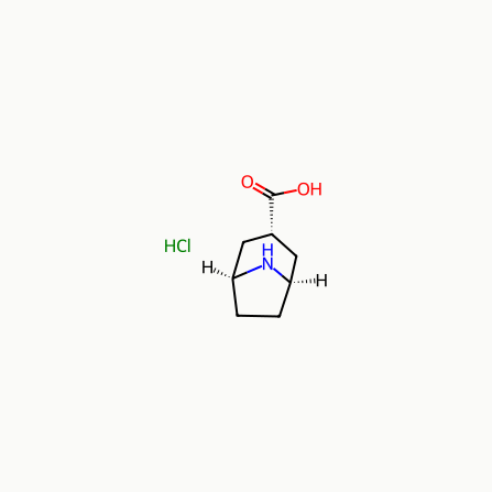 Cl.O=C(O)[C@@H]1C[C@H]2CC[C@@H](C1)N2